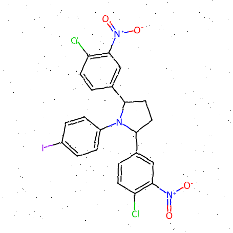 O=[N+]([O-])c1cc(C2CCC(c3ccc(Cl)c([N+](=O)[O-])c3)N2c2ccc(I)cc2)ccc1Cl